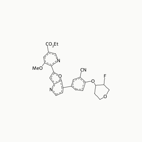 CCOC(=O)c1cnc(-c2cc3nccc(-c4ccc(OC5CCOCC5F)c(C#N)c4)c3o2)c(OC)c1